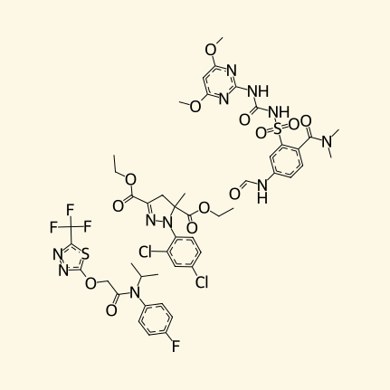 CC(C)N(C(=O)COc1nnc(C(F)(F)F)s1)c1ccc(F)cc1.CCOC(=O)C1=NN(c2ccc(Cl)cc2Cl)C(C)(C(=O)OCC)C1.COc1cc(OC)nc(NC(=O)NS(=O)(=O)c2cc(NC=O)ccc2C(=O)N(C)C)n1